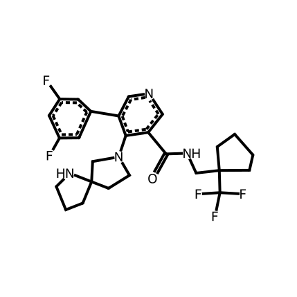 O=C(NCC1(C(F)(F)F)CCCC1)c1cncc(-c2cc(F)cc(F)c2)c1N1CCC2(CCCN2)C1